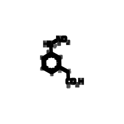 O=C(O)Cc1cccc(N[N+](=O)[O-])c1